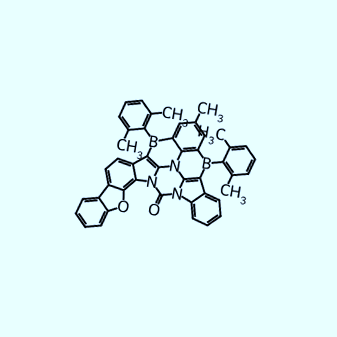 Cc1cc2c3c(c1)B(c1c(C)cccc1C)c1c4ccc5c6ccccc6oc5c4n4c(=O)n5c6ccccc6c(c5n-3c14)B2c1c(C)cccc1C